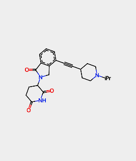 CC(C)N1CCC(C#Cc2cccc3c2CN(C2CCC(=O)NC2=O)C3=O)CC1